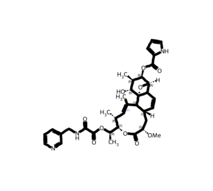 CO[C@H]1C[C@H]2C=CC3C4[C@H](O)[C@@H](C)[C@@H](OC(=O)c5ccc[nH]5)[C@@H]3O[C@]42/C(C)=C/[C@@H](C)[C@@H]([C@@H](C)OC(=O)C(=O)NCc2cccnc2)OC1=O